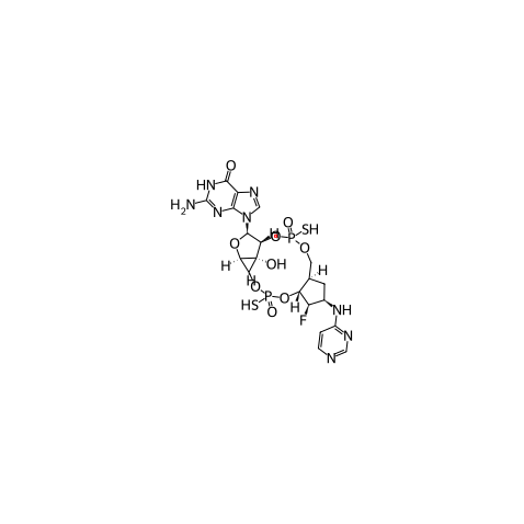 Nc1nc2c(ncn2[C@@H]2O[C@@H]3[C@@H]4OP(=O)(S)O[C@@H]5[C@@H](COP(=O)(S)O[C@@H]2[C@]34O)C[C@@H](Nc2ccncn2)[C@H]5F)c(=O)[nH]1